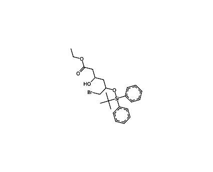 CCOC(=O)CC(O)CC(CBr)O[Si](c1ccccc1)(c1ccccc1)C(C)(C)C